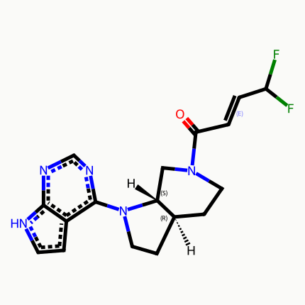 O=C(/C=C/C(F)F)N1CC[C@H]2CCN(c3ncnc4[nH]ccc34)[C@@H]2C1